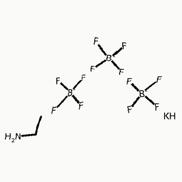 CCN.F[B-](F)(F)F.F[B-](F)(F)F.F[B-](F)(F)F.[KH]